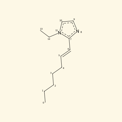 CCCCCC=Cc1nccn1CC